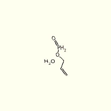 C=CCO[PH2]=O.O